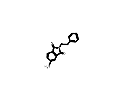 Nc1ccc2c(c1)C(=O)N(CCc1ccccc1)C2=O